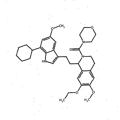 CCOc1cc2c(cc1OC)CCN(C(=O)N1CCOCC1)C2CCc1c[nH]c2c(C3CCCCC3)cc(OC)cc12